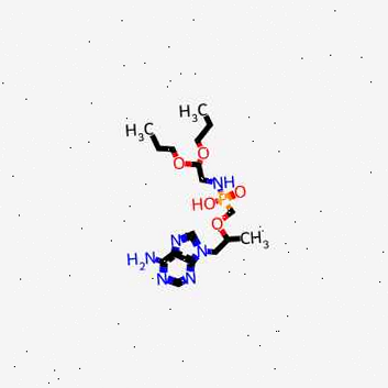 CCCOC(CNP(=O)(O)COC(C)Cn1cnc2c(N)ncnc21)OCCC